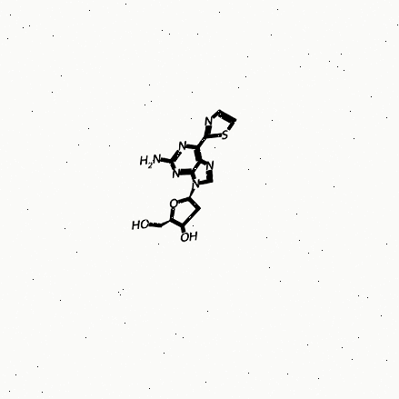 Nc1nc(-c2nccs2)c2ncn([C@H]3CC(O)[C@@H](CO)O3)c2n1